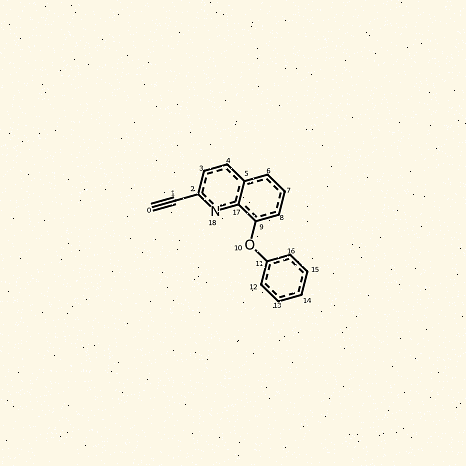 C#Cc1ccc2cccc(Oc3ccccc3)c2n1